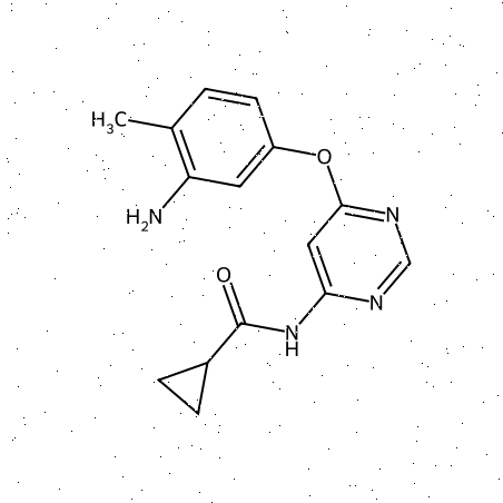 Cc1ccc(Oc2cc(NC(=O)C3CC3)ncn2)cc1N